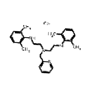 Cc1cccc(C)c1NCCN(CCNc1c(C)cccc1C)Cc1ccccn1.[Co]